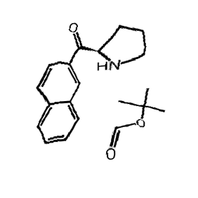 CC(C)(C)OC=O.O=C(c1ccc2ccccc2c1)[C@H]1CCCN1